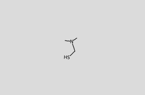 CN(C)CS